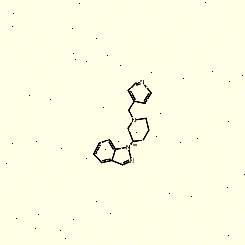 c1ccc2c(c1)cnn2[C@@H]1CCCN(Cc2ccncc2)C1